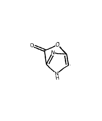 O=C1Oc2[c][nH]c1n2